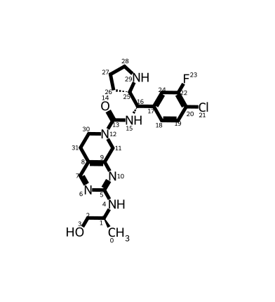 C[C@@H](CO)Nc1ncc2c(n1)CN(C(=O)N[C@@H](c1ccc(Cl)c(F)c1)[C@@H]1CCCN1)CC2